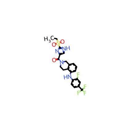 CCS(=O)(=O)c1nc(C(=O)N2CCc3c(cccc3Nc3ccc(C(F)(F)F)cc3F)C2)c[nH]1